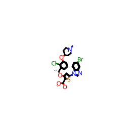 COC(=O)c1sc(-n2cnc3cc(Br)ccc32)cc1O[C@H](C)c1cccc(OC2CCN(C)CC2)c1Cl